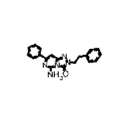 Nc1nc(-c2ccccc2)cc2nn(CCc3ccccc3)c(=O)n12